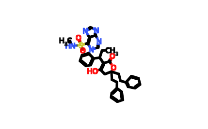 CCC(C1=C(O)CC(CCc2ccccc2)(CCc2ccccc2)OC1=O)c1ccccc1-n1cnc2ncnc-2c1S(=O)(=O)NC